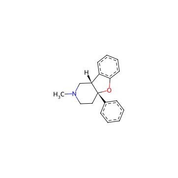 CN1CC[C@@]2(c3ccccc3)Oc3ccccc3[C@H]2C1